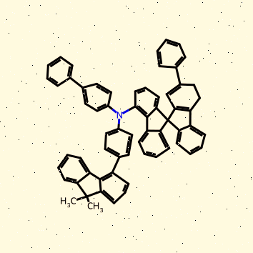 CC1(C)c2ccccc2-c2c(-c3ccc(N(c4ccc(-c5ccccc5)cc4)c4cccc5c4-c4ccccc4C54C5=C(CCC(c6ccccc6)=C5)c5ccccc54)cc3)cccc21